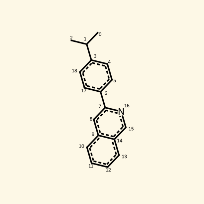 CC(C)c1ccc(-c2cc3ccccc3cn2)cc1